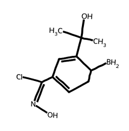 BC1CC=C(/C(Cl)=N\O)C=C1C(C)(C)O